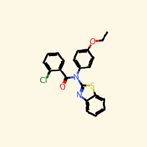 CCOc1ccc(N(C(=O)c2ccccc2Cl)c2nc3ccccc3s2)cc1